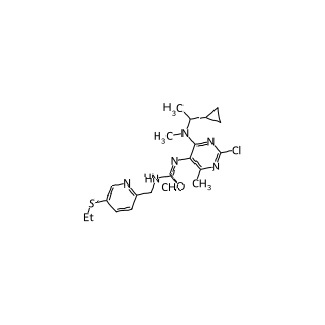 CCSc1ccc(CN/C(C=O)=N/c2c(C)nc(Cl)nc2N(C)C(C)C2CC2)nc1